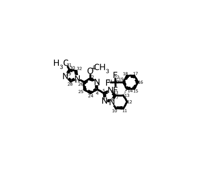 COc1nc(-c2nc3n(n2)C=CC[C@H]3c2ccccc2C(F)(F)F)ccc1-n1cnc(C)c1